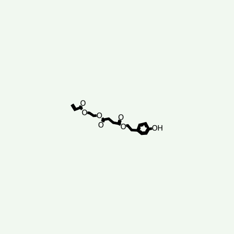 C=CC(=O)OCCOC(=O)CCC(=O)OCCc1ccc(O)cc1